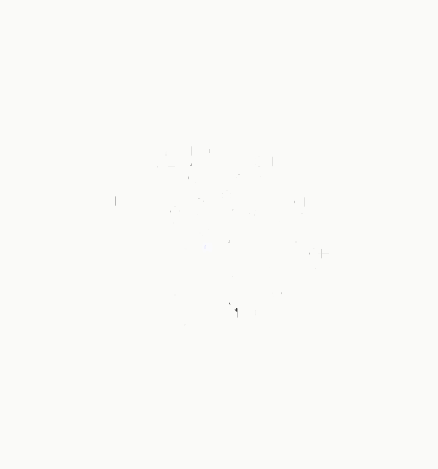 COc1cc(/C(=C\c2cccnc2)P(=O)(OC(C)C)OC(C)C)cc(C)c1O